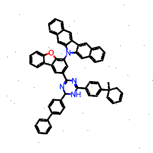 CC1(c2ccc(C3=NC(c4cc(-n5c6cc7ccccc7cc6c6cc7ccccc7cc65)c5oc6ccccc6c5c4)=NC(c4ccc(-c5ccccc5)cc4)N3)cc2)C=CC=CC1